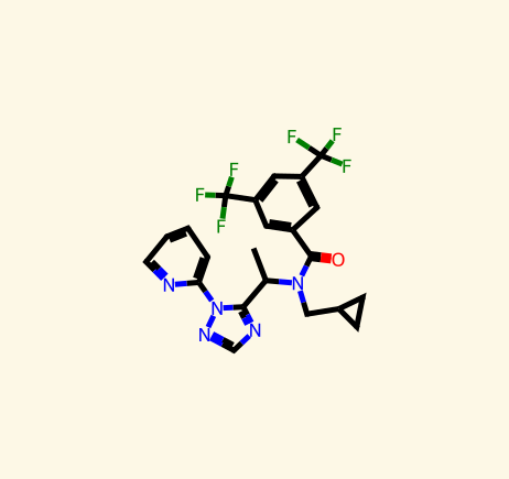 CC(c1ncnn1-c1ccccn1)N(CC1CC1)C(=O)c1cc(C(F)(F)F)cc(C(F)(F)F)c1